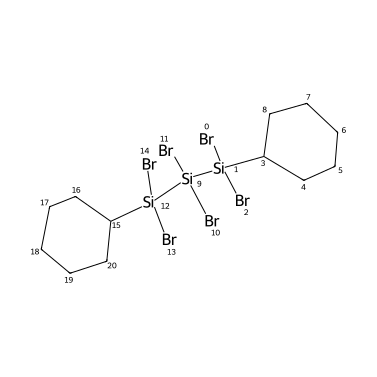 Br[Si](Br)(C1CCCCC1)[Si](Br)(Br)[Si](Br)(Br)C1CCCCC1